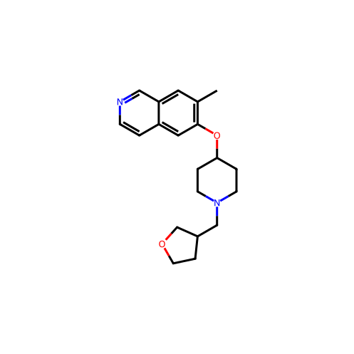 Cc1cc2cnccc2cc1OC1CCN(CC2CCOC2)CC1